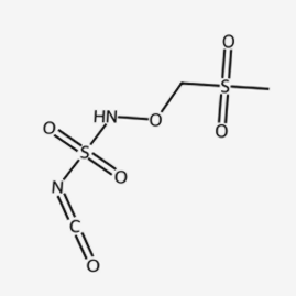 CS(=O)(=O)CONS(=O)(=O)N=C=O